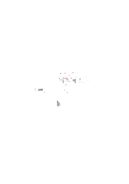 CC(C)(C)NCC(O)c1ccc(C[N+]2(C)CCN(CC(=O)[C@@]34O[C@H](C5CCCCC5)O[C@@H]3C[C@H]3[C@@H]5CCC6=CC(=O)C=C[C@]6(C)[C@@]5(F)[C@@H](O)C[C@@]34C)CC2)c(OP(=O)(O)O)c1